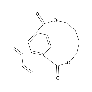 C=CC=C.O=C1OCCCCOC(=O)c2ccc1cc2